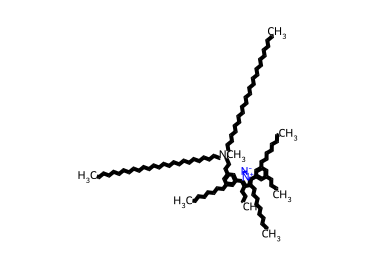 CCCCCCCCCCC1=C(c2cc(CCCC)cc(CCCCCCCC)c2)[N+](=[N-])C(c2cc(CCCC)cc(CCCCCCCC)c2)=C1CCCC.CCCCCCCCCCCCCCCCCCCCCCCCC[CH2][Ni][CH2]CCCCCCCCCCCCCCCCCCCCCCCCC